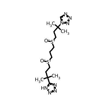 CC(C)(CC[S+]([O-])CCC[S+]([O-])CCC(C)(C)n1cnnn1)c1nnn[nH]1